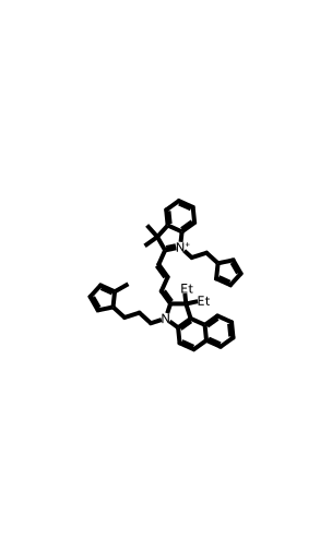 CCC1(CC)/C(=C\C=C\C2=[N+](CCC3C=CC=C3)c3ccccc3C2(C)C)N(CCCC2C=CC=C2C)c2ccc3ccccc3c21